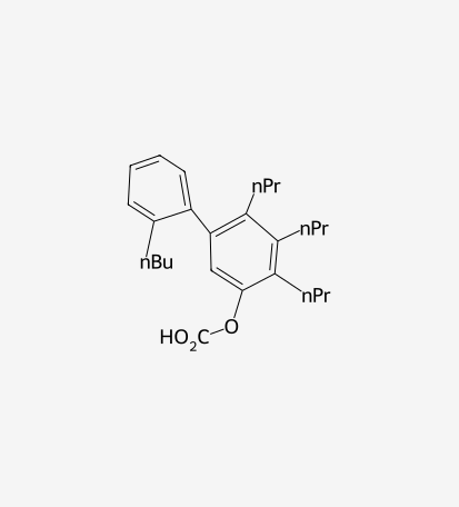 CCCCc1ccccc1-c1cc(OC(=O)O)c(CCC)c(CCC)c1CCC